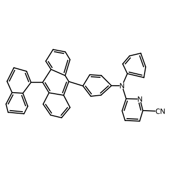 N#Cc1cccc(N(c2ccccc2)c2ccc(-c3c4ccccc4c(-c4cccc5ccccc45)c4ccccc34)cc2)n1